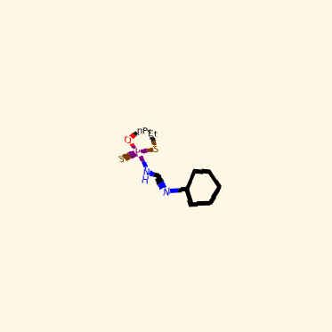 CCCOP(=S)(NC=NC1CCCCC1)SCC